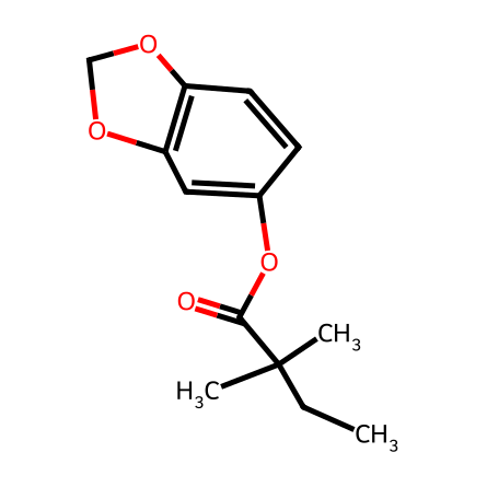 CCC(C)(C)C(=O)Oc1ccc2c(c1)OCO2